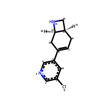 Clc1cncc(C2=CC[C@@H]3CN[C@@H]3C2)c1